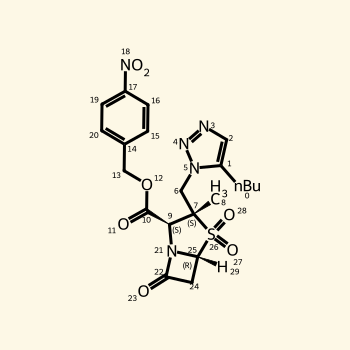 CCCCc1cnnn1C[C@@]1(C)[C@H](C(=O)OCc2ccc([N+](=O)[O-])cc2)N2C(=O)C[C@H]2S1(=O)=O